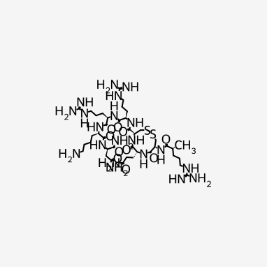 C[C@H](CCCNC(=N)N)C(=O)N[C@@H]1CSSC[C@H](C(=O)N[C@H](CCCNC(=N)N)C(=O)N[C@H](CCCNC(=N)N)C(=O)N[C@H](CCCCN)C(=O)N[C@H](CC(N)=O)C(N)=O)NC(=O)[C@@H](CCC(N)=O)NC1=O